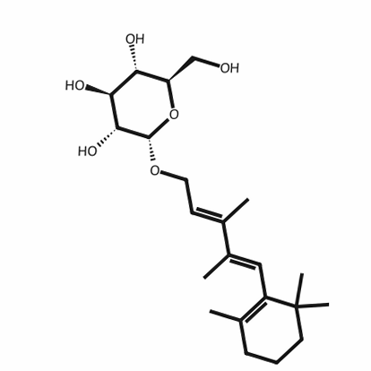 CC1=C(/C=C(C)/C(C)=C/CO[C@H]2O[C@H](CO)[C@@H](O)[C@H](O)[C@H]2O)C(C)(C)CCC1